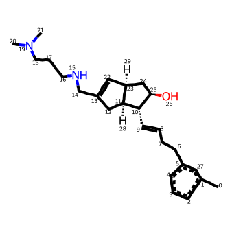 Cc1cccc(CC/C=C/[C@@H]2[C@H]3CC(CNCCCN(C)C)=C[C@H]3C[C@H]2O)c1